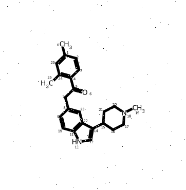 Cc1ccc(C(=O)Cc2ccc3[nH]cc(C4CCN(C)CC4)c3c2)c(C)c1